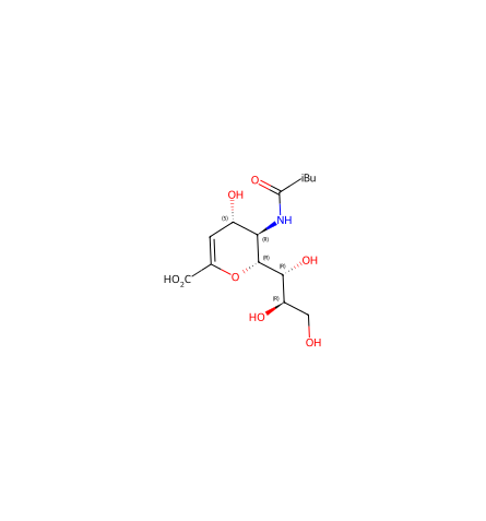 CCC(C)C(=O)N[C@H]1[C@H]([C@H](O)[C@H](O)CO)OC(C(=O)O)=C[C@@H]1O